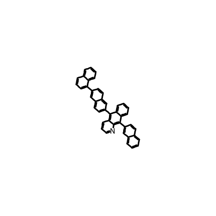 c1ccc2cc(-c3c4ccccc4c(-c4ccc5cc(-c6cccc7ccccc67)ccc5c4)c4cccnc34)ccc2c1